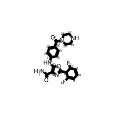 NC(=O)c1nc(C2C(F)=CC=CC2F)oc1Nc1ccc(C(=O)N2CCNCC2)cc1